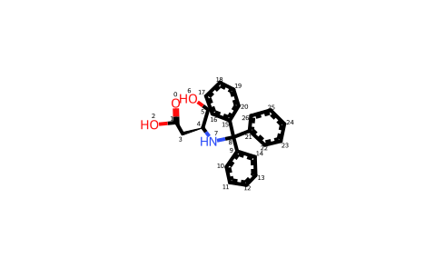 O=C(O)C[C@@H](CO)NC(c1ccccc1)(c1ccccc1)c1ccccc1